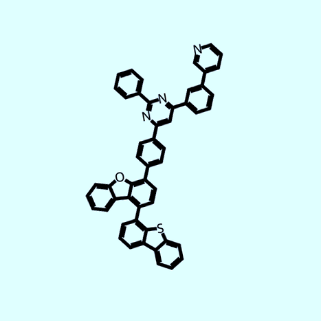 c1ccc(-c2nc(-c3ccc(-c4ccc(-c5cccc6c5sc5ccccc56)c5c4oc4ccccc45)cc3)cc(-c3cccc(-c4cccnc4)c3)n2)cc1